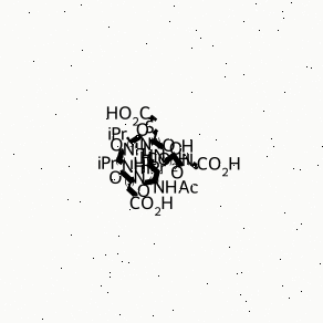 CCC[C@H](NC(=O)[C@H](CSCC(=O)O)NC(=O)[C@@H](NC(=O)[C@@H](NC(=O)[C@H](CCC(=O)O)NC(=O)[C@H](CCC(=O)O)NC(C)=O)C(C)C)C(C)C)C(=O)C(=O)NCC(=O)O